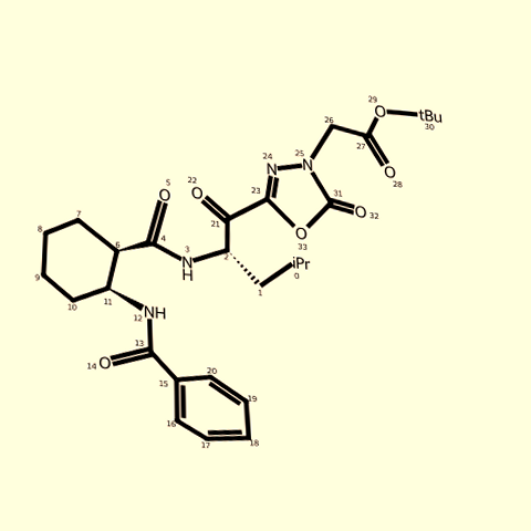 CC(C)C[C@H](NC(=O)[C@@H]1CCCC[C@@H]1NC(=O)c1ccccc1)C(=O)c1nn(CC(=O)OC(C)(C)C)c(=O)o1